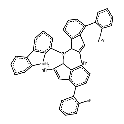 CCCC1=Cc2c(-c3ccccc3CCC)cccc2[CH]1[Zr]([c]1cccc2c1[SiH2]c1ccccc1-2)[CH]1C(CCC)=Cc2c(-c3ccccc3CCC)cccc21